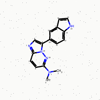 CCCN(C)c1ccc2ncc(-c3ccc4[nH]ccc4c3)n2n1